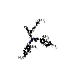 C/C=C1\CC2C=Nc3cc(OC/C=C/C(=C\C(=N)CCOC4=CCC5=C(C=C4OC)C(=O)N4C/C(=C/C)C[C@H]4C=N5)OCCN(CCCC=O)CCOCCOCCCOC)c(OC)cc3C(=O)N2C1